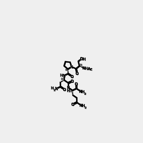 CC(=O)N[C@@H](CO)C(=O)N1CCC[C@H]1C(=O)N[C@@H](CC(N)=O)C(=O)N[C@@H](CCC(N)=O)C(N)=O